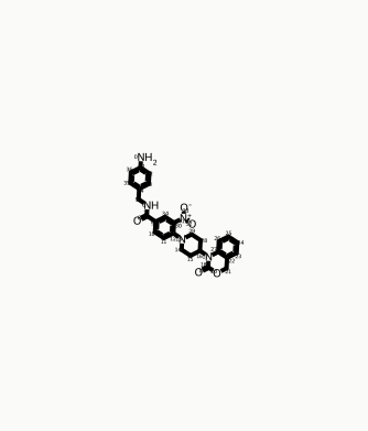 Nc1ccc(CNC(=O)c2ccc(N3CCC(N4C(=O)OCc5ccccc54)CC3)c([N+](=O)[O-])c2)cc1